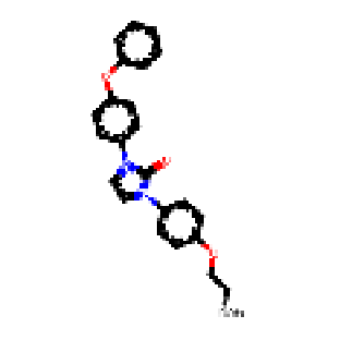 CNCCOc1ccc(-n2ccn(-c3ccc(Oc4ccccc4)cc3)c2=O)cc1